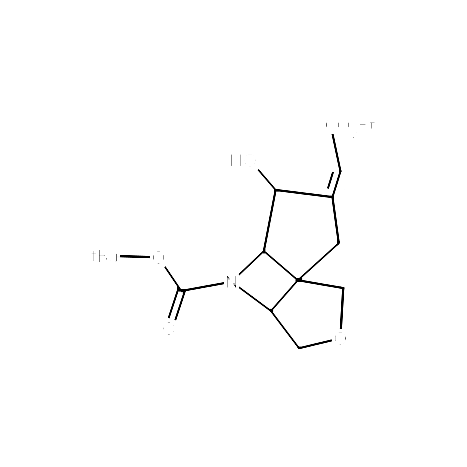 CCOC(=O)/C=C1/CC23COCC2N(C(=O)OC(C)(C)C)C3C1O